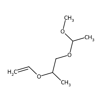 C=COC(C)COC(C)OC